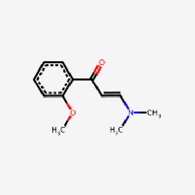 COc1ccccc1C(=O)C=CN(C)C